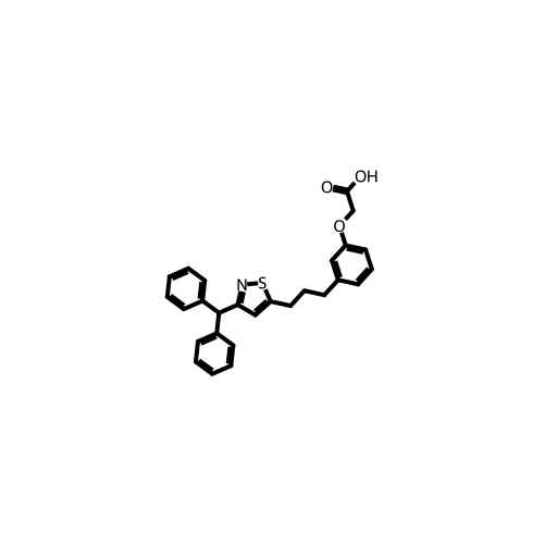 O=C(O)COc1cccc(CCCc2cc(C(c3ccccc3)c3ccccc3)ns2)c1